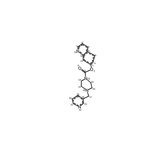 O=C(Oc1ccc2cccnc2c1)N1CCN(Cc2cccnc2)CC1